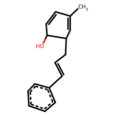 CC1=CC(CC=Cc2ccccc2)C(O)C=C1